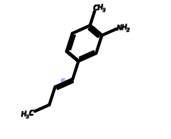 CC/C=C/c1ccc(C)c(N)c1